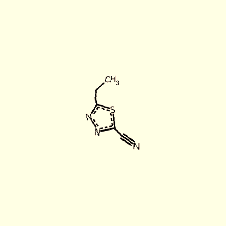 CCc1nnc(C#N)s1